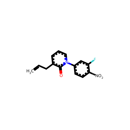 C=CCc1cccn(-c2ccc([N+](=O)[O-])c(F)c2)c1=O